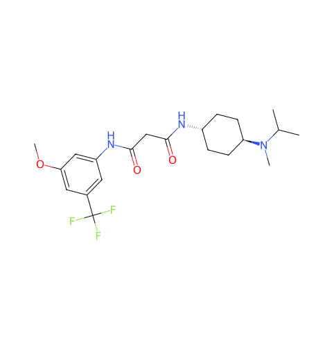 COc1cc(NC(=O)CC(=O)N[C@H]2CC[C@H](N(C)C(C)C)CC2)cc(C(F)(F)F)c1